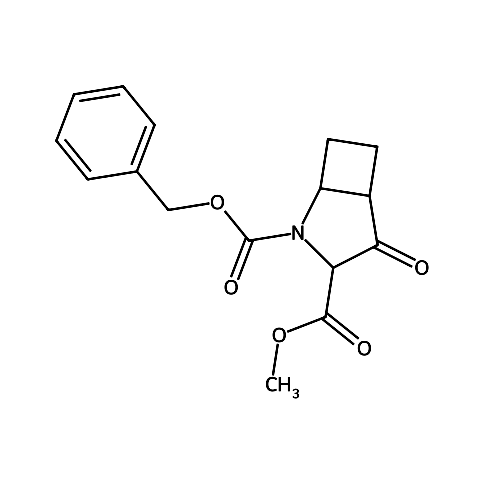 COC(=O)C1C(=O)C2CCC2N1C(=O)OCc1ccccc1